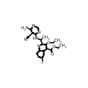 CCOC(=O)c1c(OCC)c(C(C)Nc2ncnc(N)c2C#N)nc2ccc(F)cc12